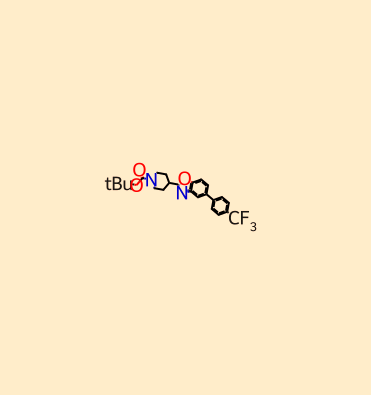 CC(C)(C)OC(=O)N1CCC(c2nc3cc(-c4ccc(C(F)(F)F)cc4)ccc3o2)CC1